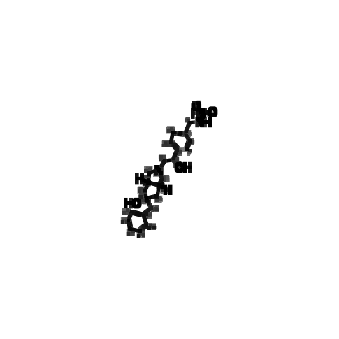 O=[SH](=O)NCc1ccc(C(O)CN2C[C@@H]3C[C@@](O)(Cc4ccccc4)C[C@@H]3C2)cc1